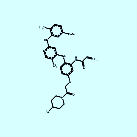 C=CC(=O)Nc1cc(OCC(=O)N2CCN(C(C)=O)CC2)ccc1Nc1nc(Nc2cc(OC)ncc2C)ncc1C(F)(F)F